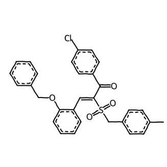 Cc1ccc(CS(=O)(=O)/C(=C\c2ccccc2OCc2ccccc2)C(=O)c2ccc(Cl)cc2)cc1